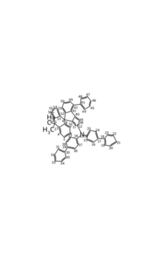 CC1(C)c2ccccc2C2(c3cc(N(c4ccc(-c5ccccc5)cc4)c4ccc(-c5ccccc5)cc4)ccc3-c3c(-c4ccccc4)cccc32)c2ccccc21